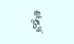 CC(C)(C)OC(=O)NCn1nnc2c(C(N)=O)ncn2c1=O